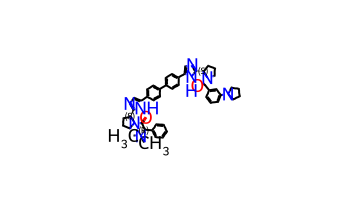 CN(C)[C@@H](C(=O)N1CCC[C@H]1c1ncc(-c2ccc(-c3ccc(-c4cnc([C@@H]5CCCN5C(=O)c5cccc(N6CCCC6)c5)[nH]4)cc3)cc2)[nH]1)c1ccccc1